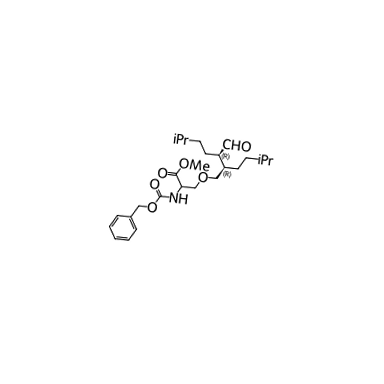 COC(=O)C(COC[C@H](CCC(C)C)[C@H](C=O)CCC(C)C)NC(=O)OCc1ccccc1